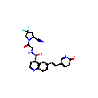 N#CC1CC(F)(F)CN1C(=O)CNC(=O)c1ccnc2ccc(C=CC3=CCC(=O)N=C3)cc12